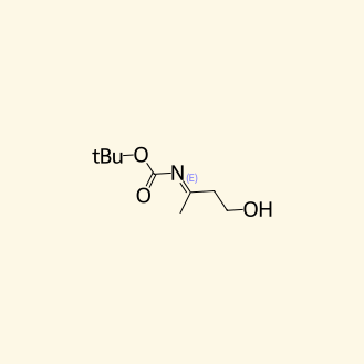 C/C(CCO)=N\C(=O)OC(C)(C)C